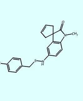 Cc1ccc(CSNc2ccc3c(c2)C2(CC=CC2)C(=O)N3C)cc1